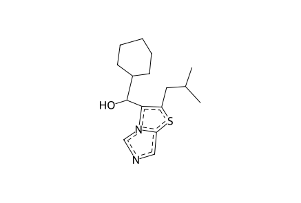 CC(C)Cc1sc2cncn2c1C(O)C1CCCCC1